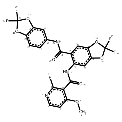 COc1ccnc(F)c1C(=O)Nc1cc2c(cc1C(=O)Nc1ccc3c(c1)OC(F)(F)O3)OC(F)(F)O2